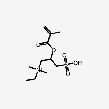 C=C(C)C(=O)OC(C[N+](C)(C)CC)CS(=O)(=O)O